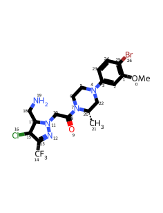 COc1cc(N2CCN(C(=O)CN3N=C(C(F)(F)F)C(Cl)C3CN)[C@@H](C)C2)ccc1Br